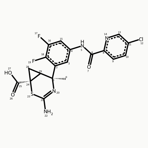 C[C@]1(c2cc(NC(=O)c3ccc(Cl)cn3)cc(F)c2F)N=C(N)S[C@@]2(C(=O)O)CC21